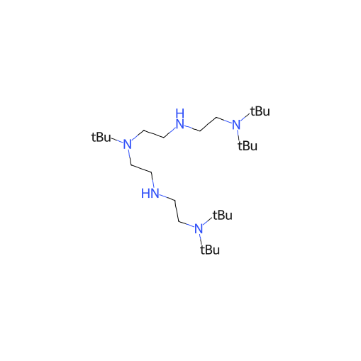 CC(C)(C)N(CCNCCN(C(C)(C)C)C(C)(C)C)CCNCCN(C(C)(C)C)C(C)(C)C